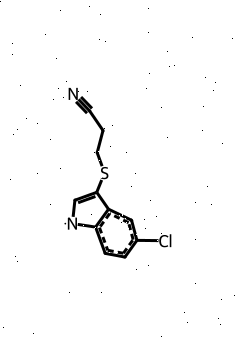 N#CCCSC1=C[N]c2ccc(Cl)cc21